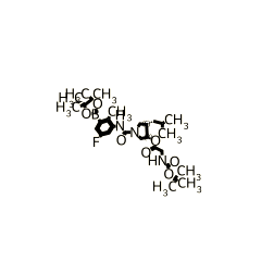 Cc1c(NC(=O)N2C[C@H](CC(C)C)[C@@H](OC(=O)CNC(=O)OC(C)(C)C)C2)cc(F)cc1B1OC(C)(C)C(C)(C)O1